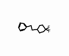 FC1(F)CCC([CH]Cc2ccccc2)CC1